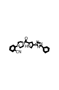 N#Cc1ccccc1N1CCN(C(=O)C2CC(n3nnc(-c4ccccc4)n3)CN2)CC1